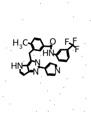 Cc1ccc(C(=O)Nc2cccc(C(F)(F)F)c2)cc1Cc1nc(-c2ccncc2)nc2cc[nH]c12